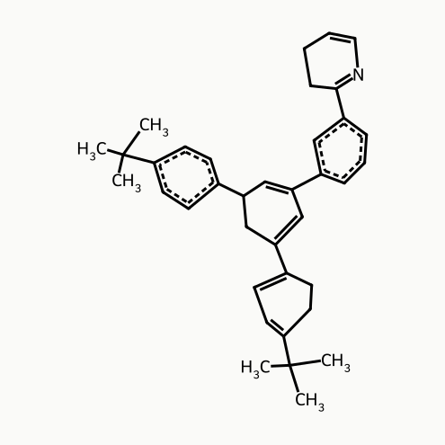 CC(C)(C)C1=CC=C(C2=CC(c3cccc(C4=NC=CCC4)c3)=CC(c3ccc(C(C)(C)C)cc3)C2)CC1